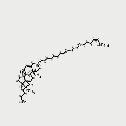 CCCCC/C=C\CCCOCCCOCCCCCCCO[C@H]1CC[C@@]2(C)C(=CC[C@H]3C4CC[C@@H]5[C@](C)(CCCC(C)C)C[C@]45CCC32)C1